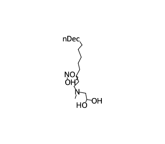 CCCCCCCCCCCCCCCCCCN(C)CC(O)O.O=[N+]([O-])O